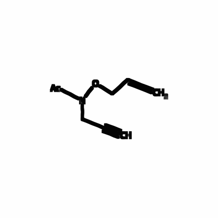 C#CCN(OCC=C)C(C)=O